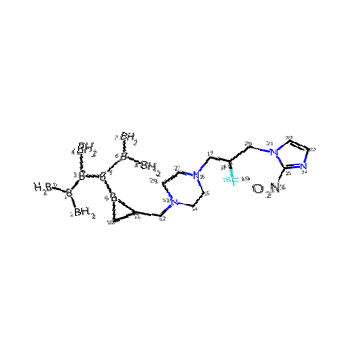 BB(B)B(B)B(B(B)B)B1CC1CN1CCN(CC([18F])Cn2ccnc2[N+](=O)[O-])CC1